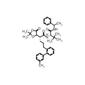 Cc1cccc(-c2ccccc2CCC[C@@H](C(=O)N[C@H](C(=O)N[C@H](C)c2ccccc2)C(C)(C)C)C2OC(C)(C)OC2=O)c1